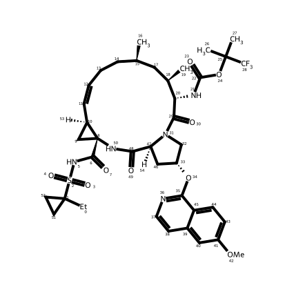 CCC1(S(=O)(=O)NC(=O)[C@@]23C[C@H]2/C=C\CC[C@@H](C)C[C@@H](C)[C@H](NC(=O)OC(C)(C)C(F)(F)F)C(=O)N2C[C@H](Oc4nccc5cc(OC)ccc45)C[C@H]2C(=O)N3)CC1